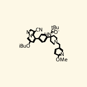 COc1ccc(CN2CCC(N[S+]([O-])C(C)(C)C)(c3ccc(-c4cc(OCC(C)C)cn5ncc(C#N)c45)cc3)CC2)cn1